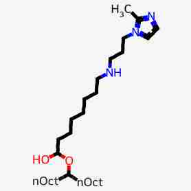 CCCCCCCCC(CCCCCCCC)OC(O)CCCCCCCNCCCn1ccnc1C